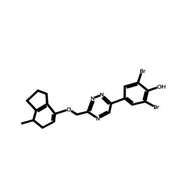 CC1CC=C(OCc2ncc(-c3cc(Br)c(O)c(Br)c3)nn2)C2=C1CCC2